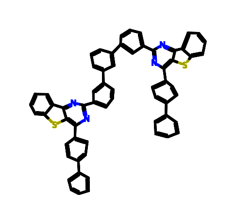 c1ccc(-c2ccc(-c3nc(-c4cccc(-c5cccc(-c6cccc(-c7nc(-c8ccc(-c9ccccc9)cc8)c8sc9ccccc9c8n7)c6)c5)c4)nc4c3sc3ccccc34)cc2)cc1